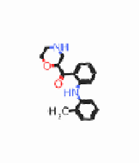 [CH2]c1ccccc1Nc1ccccc1C(=O)C1CNCCO1